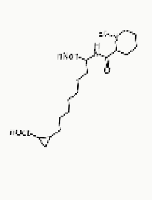 CCCCCCCCCC(CCCCCCCC1CC1CCCCCCCC)NC(=O)C1CCCCN1CC